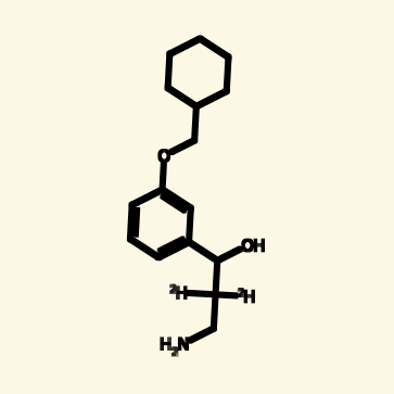 [2H]C([2H])(CN)C(O)c1cccc(OCC2CCCCC2)c1